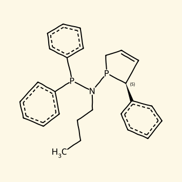 CCCCN(P(c1ccccc1)c1ccccc1)P1CC=C[C@H]1c1ccccc1